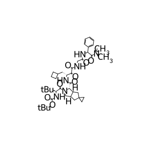 CN(C)C(=O)[C@@H](NC(=O)CNC(=O)C(=O)[C@@H](CC1CCC1)NC(=O)[C@@H]1[C@H]2CC3(CC3)C[C@H]2CN1C(=O)[C@@H](NC(=O)OC(C)(C)C)C(C)(C)C)c1ccccc1